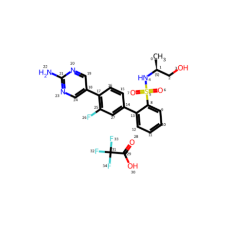 C[C@@H](CO)NS(=O)(=O)c1ccccc1-c1ccc(-c2cnc(N)nc2)c(F)c1.O=C(O)C(F)(F)F